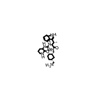 C[C@@H](c1c[nH]c2ccccc12)[C@@H](NC(=O)NC1CCCNC1=O)C(=O)NC[C@H]1CCC[C@@H](CN)C1